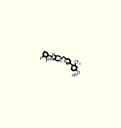 CCCOc1ccc(-c2ccc(CN3Cc4nc(-c5cccc(F)c5F)[nH]c4C=N3)nn2)c(C(F)(F)F)c1